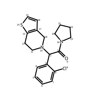 O=C(C(c1ccccc1Cl)N1CCc2sccc2C1)N1CCCC1